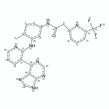 Cc1ccc(NC(=O)Cc2cccc(C(F)(F)F)n2)cc1Nc1ncccc1-c1ncnc2[nH]cnc12